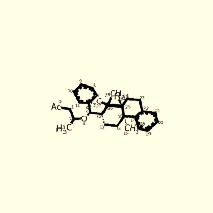 CC(=O)CC(C)O[C@@H](c1ccccc1)[C@H]1CC[C@]2(C)c3ccccc3CC[C@H]2C1(C)C